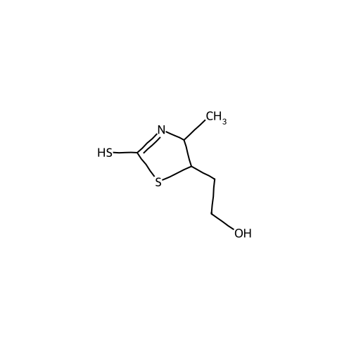 CC1N=C(S)SC1CCO